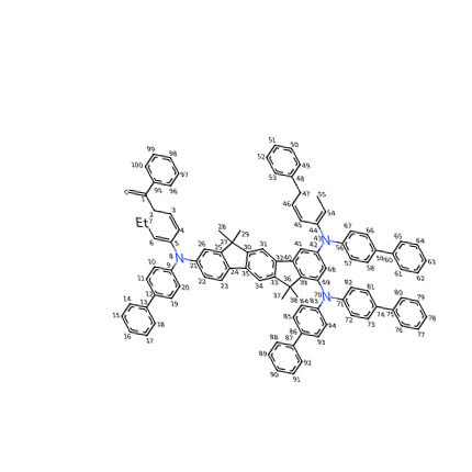 C=C(C/C=C\C(=C/CC)N(c1ccc(-c2ccccc2)cc1)c1ccc2c(c1)C(C)(C)c1cc3c(cc1-2)C(C)(C)c1c-3cc(N(C(/C=C\Cc2ccccc2)=C/C)c2ccc(-c3ccccc3)cc2)cc1N(c1ccc(-c2ccccc2)cc1)c1ccc(-c2ccccc2)cc1)c1ccccc1